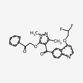 Cc1nn(C)c(OCC(=O)c2ccccc2)c1C(=O)c1ccc2nccc(OCC(F)F)c2c1